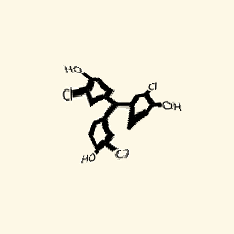 Oc1ccc(C(c2ccc(O)c(Cl)c2)c2ccc(O)c(Cl)c2)cc1Cl